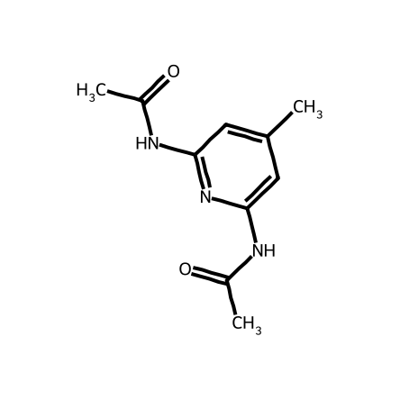 CC(=O)Nc1cc(C)cc(NC(C)=O)n1